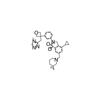 C[C@H]1CCCN(Cc2cc(C3CC3)c3c(c2)S(=O)(=O)N(c2cccc(C4(Cc5nncn5C)COC4)c2)C3)C1